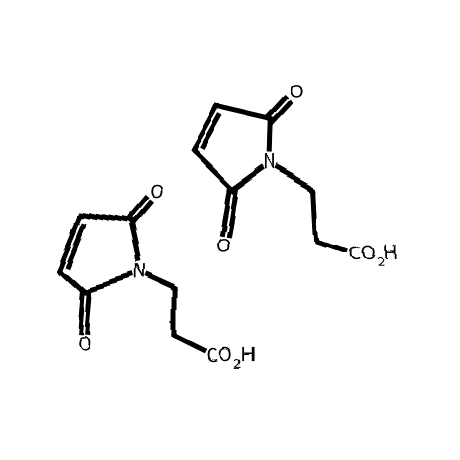 O=C(O)CCN1C(=O)C=CC1=O.O=C(O)CCN1C(=O)C=CC1=O